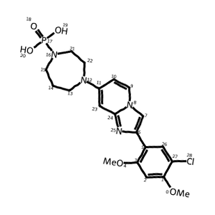 COc1cc(OC)c(-c2cn3ccc(N4CCCN(P(=O)(O)O)CC4)cc3n2)cc1Cl